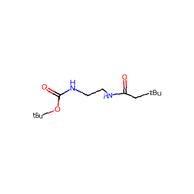 CC(C)(C)CC(=O)NCCNC(=O)OC(C)(C)C